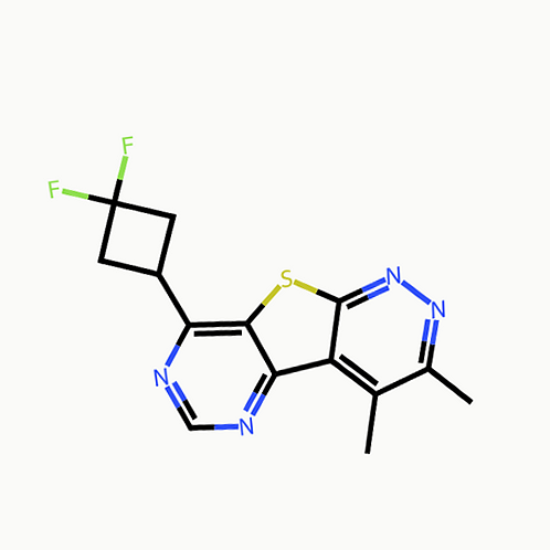 Cc1nnc2sc3c(C4CC(F)(F)C4)ncnc3c2c1C